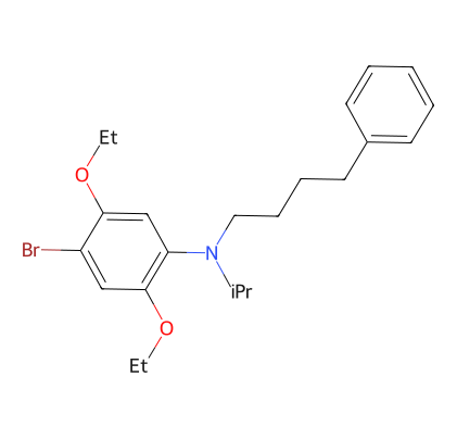 CCOc1cc(N(CCCCc2ccccc2)C(C)C)c(OCC)cc1Br